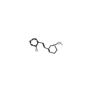 CN1CCC=C(C=Cc2ccccc2Cl)C1